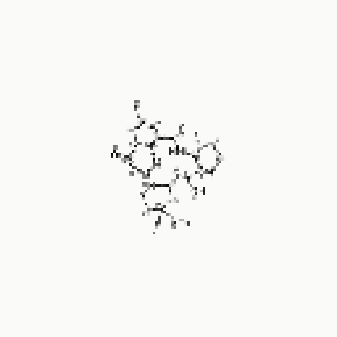 CC(Nc1ccccc1C(=O)O)c1cc(F)cc2c(=O)cc(N3CCC(C)(F)CC3)oc12